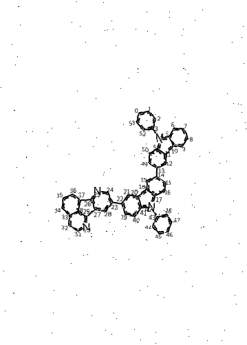 c1ccc(-n2c3ccccc3c3cc(-c4ccc5c(c4)c4cc(-c6cnc7c(c6)-c6nccc8cccc-7c68)ccc4n5-c4ccccc4)ccc32)cc1